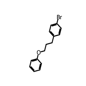 Brc1ccc(CCCOc2ccccc2)cc1